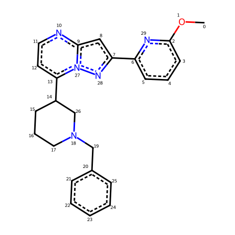 COc1cccc(-c2cc3nccc(C4CCCN(Cc5ccccc5)C4)n3n2)n1